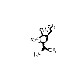 CCC(CC(N)C(C)C)C(C)C